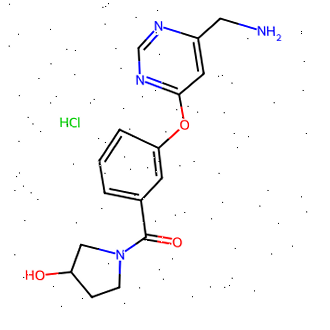 Cl.NCc1cc(Oc2cccc(C(=O)N3CCC(O)C3)c2)ncn1